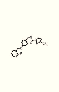 CN(Cc1ccc(OCc2ccccc2F)cc1)C(=O)c1csc(C(F)(F)F)n1